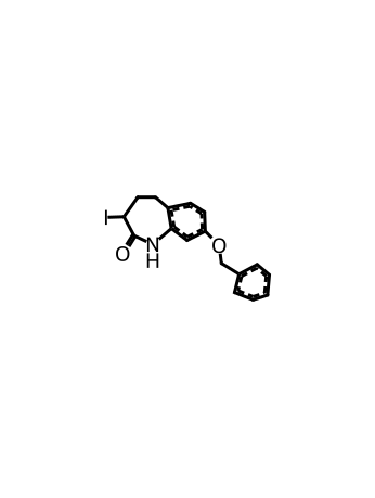 O=C1Nc2cc(OCc3ccccc3)ccc2CCC1I